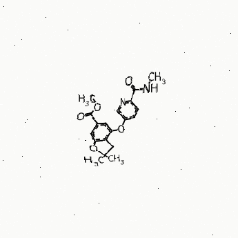 CNC(=O)c1ccc(Oc2cc(C(=O)OC)cc3c2CC(C)(C)O3)cn1